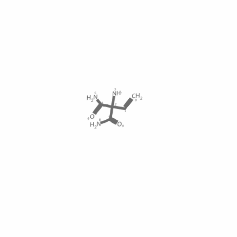 C=CC([NH])(C(N)=O)C(N)=O